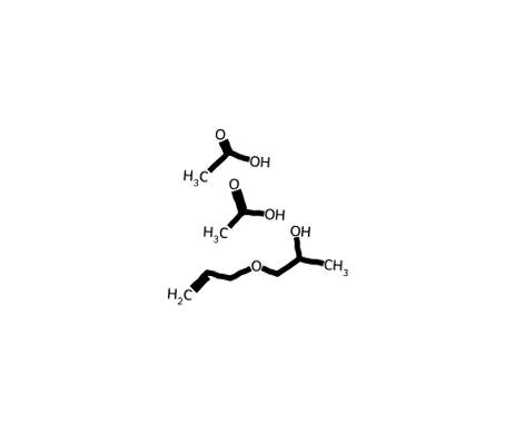 C=CCOCC(C)O.CC(=O)O.CC(=O)O